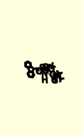 COP(OC[C@H](NC(=O)OCC1c2ccccc2-c2ccccc21)C(=O)OC(C)(C)C)N(C(C)C)C(C)C